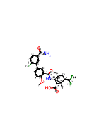 COc1ccc(-c2cc(C(N)=O)ccc2F)cc1C(=O)N[C@@H]1[C@H]2CC(=C(F)F)[C@H](C2)[C@@H]1C(=O)O